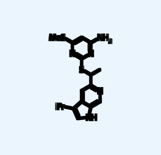 CSc1cc(N)nc(SC(C)c2cc3c(C(C)C)c[nH]c3cn2)n1